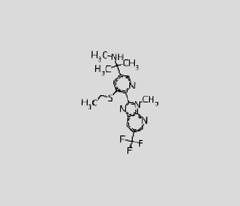 CCSc1cc(C(C)(C)NC)cnc1-c1nc2cc(C(F)(F)F)cnc2n1C